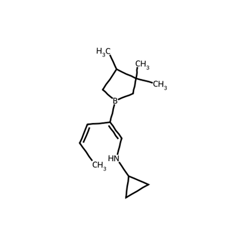 C/C=C\C(=C/NC1CC1)B1CC(C)C(C)(C)C1